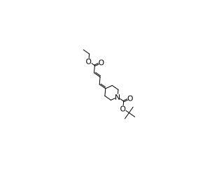 CCOC(=O)C=CC=C1CCN(C(=O)OC(C)(C)C)CC1